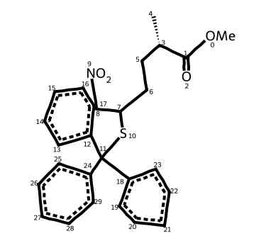 COC(=O)[C@@H](C)CCC(C[N+](=O)[O-])SC(c1ccccc1)(c1ccccc1)c1ccccc1